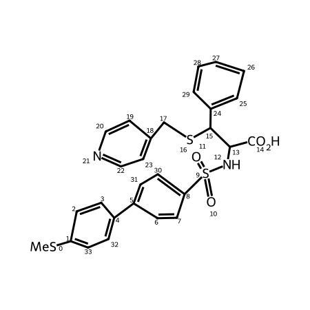 CSc1ccc(-c2ccc(S(=O)(=O)NC(C(=O)O)C(SCc3ccncc3)c3ccccc3)cc2)cc1